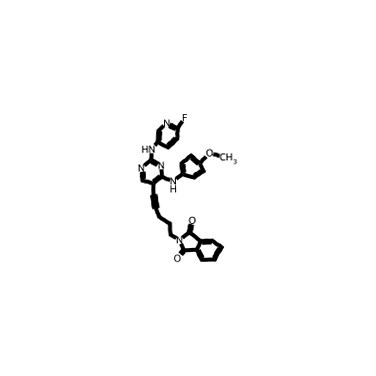 COc1ccc(Nc2nc(Nc3ccc(F)nc3)ncc2C#CCCCN2C(=O)c3ccccc3C2=O)cc1